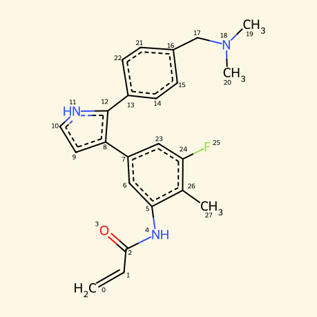 C=CC(=O)Nc1cc(-c2cc[nH]c2-c2ccc(CN(C)C)cc2)cc(F)c1C